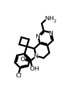 NCc1ncc2c(n1)C(C1(c3ccc(Cl)cc3)CCC1)N(C(=O)O)CC2